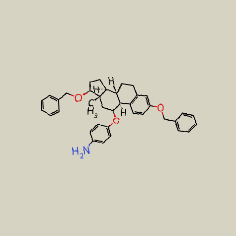 C[C@]12C[C@H](Oc3ccc(N)cc3)[C@@H]3c4ccc(OCc5ccccc5)cc4CC[C@H]3[C@@H]1CC[C@@H]2OCc1ccccc1